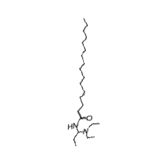 CCCCCCCCCCCCCCCC(=O)NC(CC)N(CC)CC